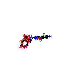 CC[C@H]1OC(=O)[C@H](C)[C@@H](O[C@H]2C[C@@](C)(OC)[C@@H](O)[C@H](C)O2)C[C@@H](O[C@@H]2O[C@H](C)C[C@H](N(C)CCc3cn(C[C@H]4CN(c5ccc(-c6ccc(C#N)cc6)c(F)c5)C(=O)O4)nn3)[C@H]2O)[C@](C)(O)C[C@@H](C)CN(C)[C@H](C)[C@@H](O)[C@]1(C)O